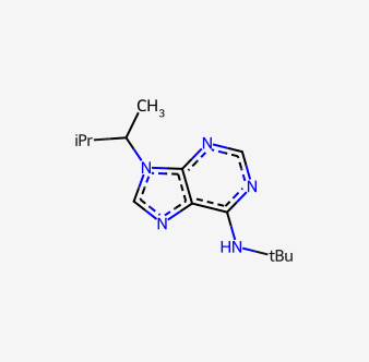 CC(C)C(C)n1cnc2c(NC(C)(C)C)ncnc21